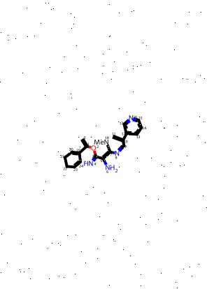 C=C(OC(=N)/C(N)=C(/N=C\C(=C)c1cccnc1)NC)C1=CCCC=C1